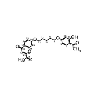 CC(=O)c1ccc(OCCCCCOc2ccc3c(=O)cc(C(=O)O)oc3c2)cc1O